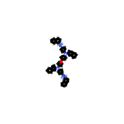 c1ccc2cc(N(c3ccc(-c4ccc(N(c5ccc(-n6nc7ccc8ccccc8c7n6)cc5)c5ccc6ccccc6c5)cc4)cc3)c3ccc(-n4nc5ccc6ccccc6c5n4)cc3)ccc2c1